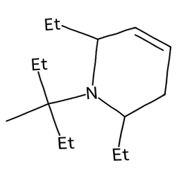 CCC1C=CCC(CC)N1C(C)(CC)CC